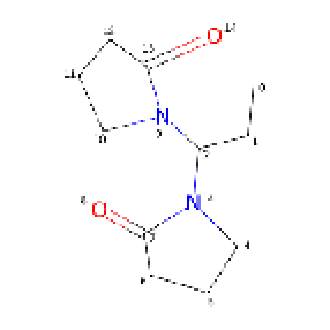 CCC(N1CCCC1=O)N1CCCC1=O